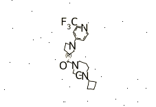 O=C([C@@H]1CCN(c2ccnc(C(F)(F)F)c2)C1)N1CCCN(C2CCC2)CC1